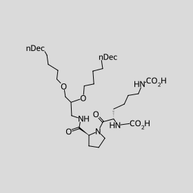 CCCCCCCCCCCCCCOCC(CNC(=O)[C@@H]1CCCN1C(=O)[C@H](CCCCNC(=O)O)NC(=O)O)OCCCCCCCCCCCCCC